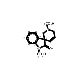 O=C(O)N1CC=CC2(C1)C(=O)N(C(=O)O)c1ccccc12